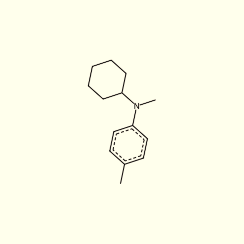 Cc1ccc(N(C)C2CCCCC2)cc1